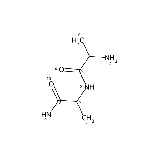 CC(N)C(=O)NC(C)C([NH])=O